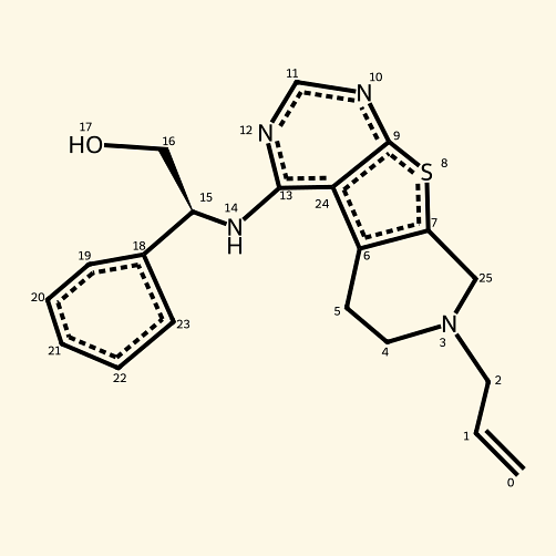 C=CCN1CCc2c(sc3ncnc(N[C@H](CO)c4ccccc4)c23)C1